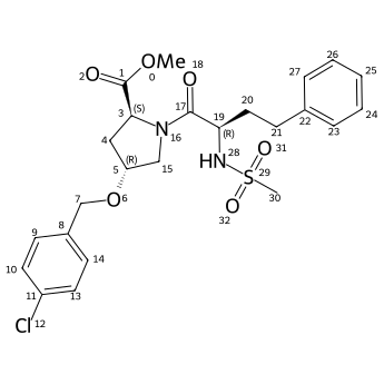 COC(=O)[C@@H]1C[C@@H](OCc2ccc(Cl)cc2)CN1C(=O)[C@@H](CCc1ccccc1)NS(C)(=O)=O